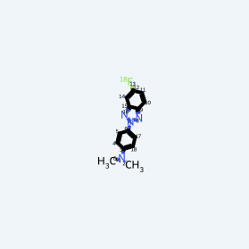 CN(C)c1ccc(-n2nc3ccc([18F])cc3n2)cc1